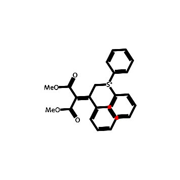 COC(=O)C(C(=O)OC)=C(C[S+](c1ccccc1)c1ccccc1)c1ccccc1